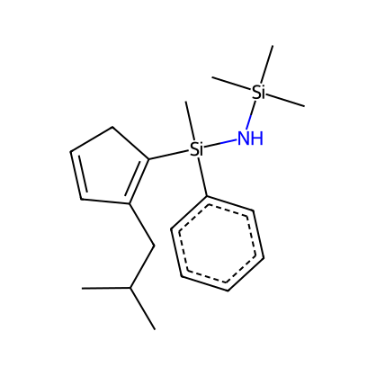 CC(C)CC1=C([Si](C)(N[Si](C)(C)C)c2ccccc2)CC=C1